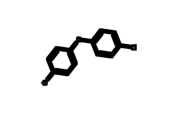 [O]c1ccc(Oc2ccc(Cl)cc2)cc1